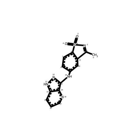 CC1=NS(=O)(=O)c2ccc(Nc3n[nH]c4cccnc34)cc21